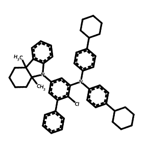 CC12CCCCC1(C)N(c1cc(-c3ccccc3)c(Cl)c(N(c3ccc(C4CCCCC4)cc3)c3ccc(C4CCCCC4)cc3)c1)c1ccccc12